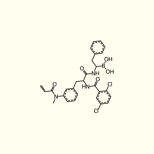 C=CC(=O)N(C)c1cccc(CC(NC(=O)c2cc(Cl)ccc2Cl)C(=O)NC(Cc2ccccc2)B(O)O)c1